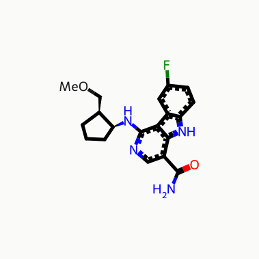 COC[C@@H]1CCC[C@@H]1Nc1ncc(C(N)=O)c2[nH]c3ccc(F)cc3c12